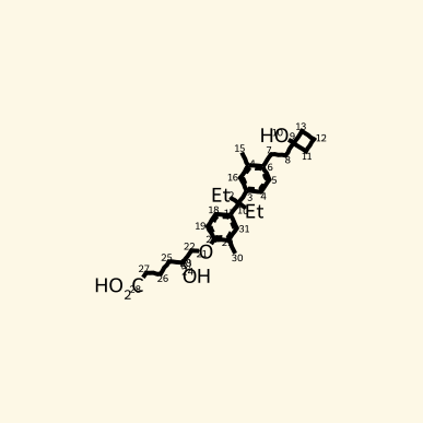 CCC(CC)(c1ccc(CCC2(O)CCC2)c(C)c1)c1ccc(OC[C@H](O)CCCC(=O)O)c(C)c1